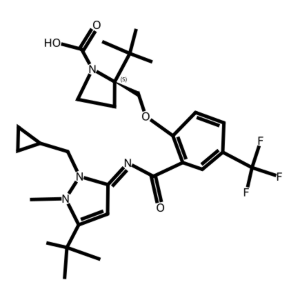 Cn1c(C(C)(C)C)cc(=NC(=O)c2cc(C(F)(F)F)ccc2OC[C@@]2(C(C)(C)C)CCN2C(=O)O)n1CC1CC1